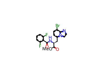 COC(=O)[C@H](Cc1ccc(Br)c2nccn12)NC(=O)c1c(F)cccc1F